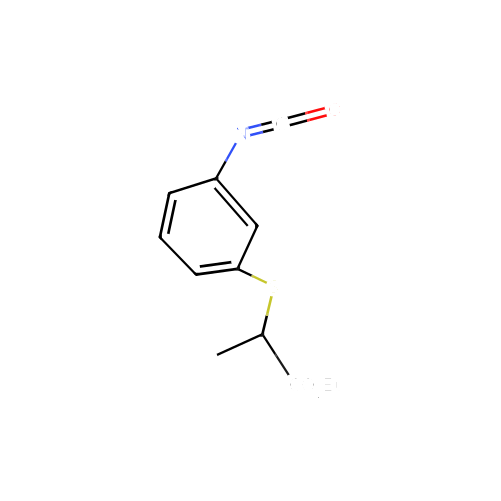 CCOC(=O)C(C)Sc1cccc(N=C=O)c1